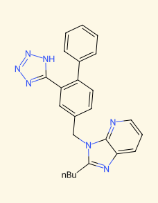 CCCCc1nc2cccnc2n1Cc1ccc(-c2ccccc2)c(-c2nnn[nH]2)c1